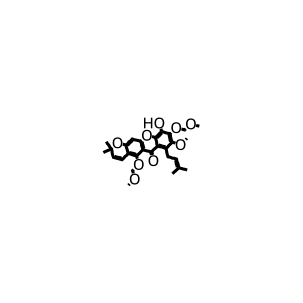 COCOc1c(OC)c(CC=C(C)C)c2c(=O)c3c(OCOC)c4c(cc3oc2c1O)OC(C)(C)C=C4